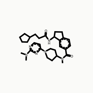 CN(C)c1nccc(N2CCC(N(C)C(=O)c3ccc4c(c3)C(NC(=O)CCC3CCCC3)CC4)CC2)n1